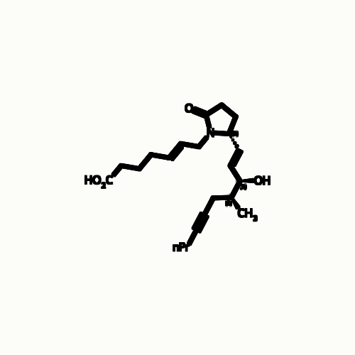 CCCC#CC[C@H](C)[C@H](O)C=C[C@H]1CCC(=O)N1CC=CCCCC(=O)O